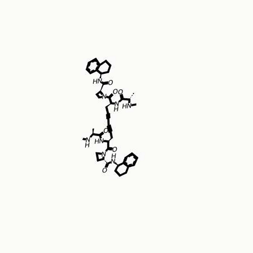 CN[C@@H](C)C(=O)N[C@@H](CC#CC#CC[C@H](NC(=O)[C@H](C)NC)C(=O)N1CC[C@H]1C(=O)N[C@@H]1CCCc2ccccc21)C(=O)N1CC[C@H]1C(=O)N[C@@H]1CCCc2ccccc21